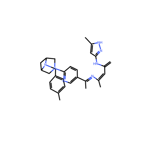 C=C(/C=C(C)\N=C(/C)c1ccc(N2CC3CC(C2)N3Cc2ccc(C)cc2)nc1)Nc1cc(C)[nH]n1